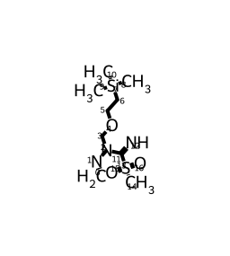 C=NN(COCC[Si](C)(C)C)C(=N)S(C)(=O)=O